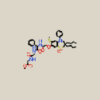 CCCCC1(CCCC)CN(c2ccccc2)c2cc(SC)c(OCC(=O)N[C@@H](C(=O)NCC(=O)NCC(=O)OC)c3ccccc3)cc2[S+]([O-])C1